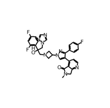 CN1Cc2nccc(-c3cn(C4CN(CC(O)(Cn5cncn5)c5ccc(F)cc5F)C4)nc3-c3ccc(F)cc3)c2C1=O